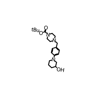 CC(C)(C)OC(=O)N1CCN(Cc2ccc(N3CCCC(O)C3)cc2)CC1